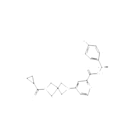 C[C@@H](NC(=O)c1cc(N2CC3(CN(C(=O)C4CC4)C3)C2)ccn1)c1ccc(Br)cc1